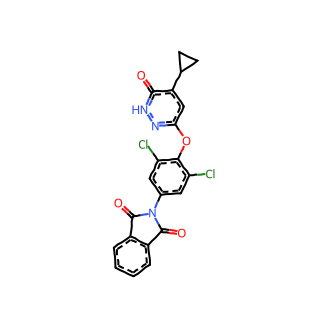 O=C1c2ccccc2C(=O)N1c1cc(Cl)c(Oc2cc(C3CC3)c(=O)[nH]n2)c(Cl)c1